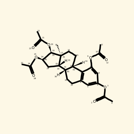 CC(=O)Oc1cc2c(c(OC(C)=O)c1)[C@H]1CC[C@]3(C)[C@H](OC(C)=O)[C@H](OC(C)=O)C[C@H]3[C@H]1CC2